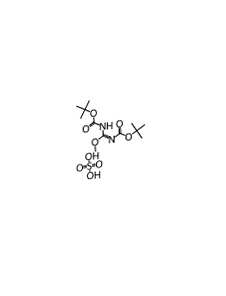 COC(=NC(=O)OC(C)(C)C)NC(=O)OC(C)(C)C.O=S(=O)(O)O